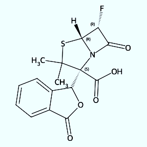 CC1(C)S[C@@H]2[C@H](F)C(=O)N2[C@]1(C(=O)O)C1OC(=O)c2ccccc21